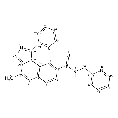 Cc1nc2ccc(C(=O)NCc3ccccn3)cc2n2c(-c3ccccc3)nnc12